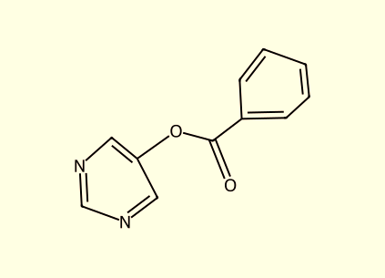 O=C(Oc1cncnc1)c1ccccc1